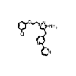 Nc1nn(CCOc2cccc(Cl)c2)cc1Cc1ccnc(-c2cccnc2)c1